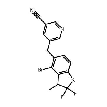 CC1c2c(ccc(Cc3cncc(C#N)c3)c2Br)SC1(F)F